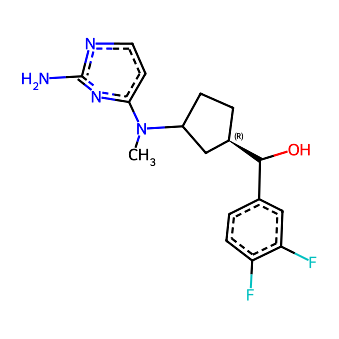 CN(c1ccnc(N)n1)C1CC[C@@H](C(O)c2ccc(F)c(F)c2)C1